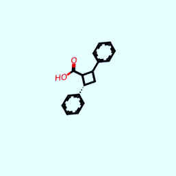 O=C(O)C1C(c2ccccc2)C[C@@H]1c1ccccc1